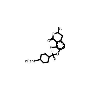 CCCCCC1CCC(C(F)(F)Oc2ccc3c(c2F)C(=O)OC(CC)C3)CC1